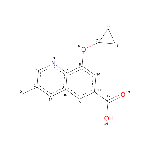 Cc1cnc2c(OC3CC3)cc(C(=O)O)cc2c1